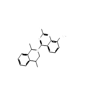 COc1cccc2c(N3CC(C)c4ccccc4C3C)nc(Cl)nc12